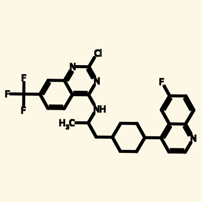 CC(CC1CCC(c2ccnc3ccc(F)cc23)CC1)Nc1nc(Cl)nc2cc(C(F)(F)F)ccc12